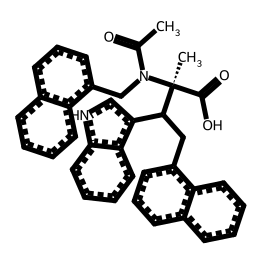 CC(=O)N(Cc1cccc2ccccc12)[C@@](C)(C(=O)O)C(Cc1cccc2ccccc12)c1c[nH]c2ccccc12